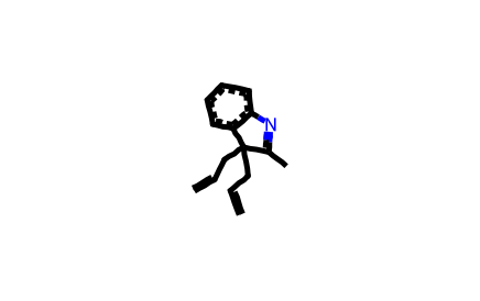 C=CCC1(CC=C)C(C)=Nc2ccccc21